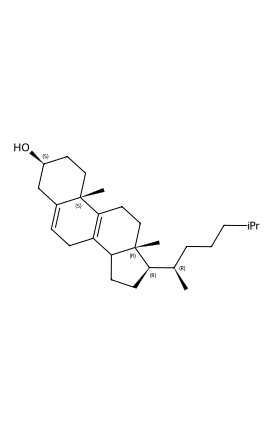 CC(C)CCC[C@@H](C)[C@H]1CCC2C3=C(CC[C@@]21C)[C@@]1(C)CC[C@H](O)CC1=CC3